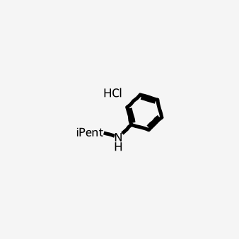 CCCC(C)Nc1ccccc1.Cl